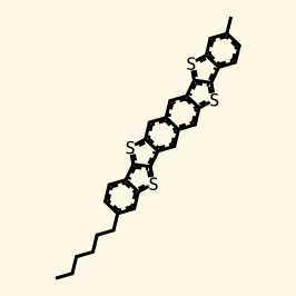 CCCCCCc1ccc2c(c1)sc1c3cc4cc5sc6c7ccc(C)cc7sc6c5cc4cc3sc21